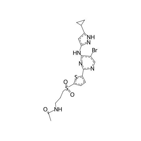 CC(=O)NCCCS(=O)(=O)c1ccc(-c2ncc(Br)c(Nc3cc(C4CC4)[nH]n3)n2)s1